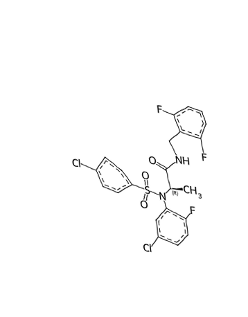 C[C@H](C(=O)NCc1c(F)cccc1F)N(c1cc(Cl)ccc1F)S(=O)(=O)c1ccc(Cl)cc1